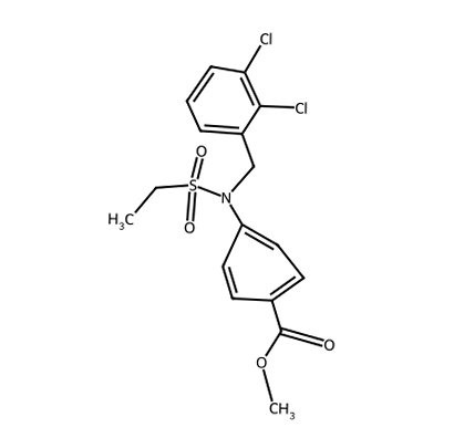 CCS(=O)(=O)N(Cc1cccc(Cl)c1Cl)c1ccc(C(=O)OC)cc1